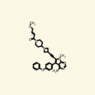 COC/C=C/C(=O)N1CCC(N2CC(C#Cc3c(-c4ccc(Oc5ccccc5)cc4)c4c(N)ncnc4n3C)C2)CC1